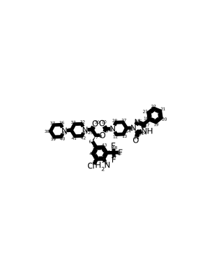 Nc1c(Cl)cc(C[C@@H](OC(=O)N2CCC(n3nc(-c4ccccc4)[nH]c3=O)CC2)C(=O)N2CCC(N3CCCCC3)CC2)cc1C(F)(F)F